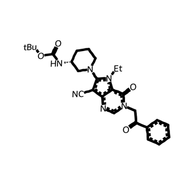 CCn1c(N2CCC[C@@H](NC(=O)OC(C)(C)C)C2)c(C#N)c2ncn(CC(=O)c3ccccc3)c(=O)c21